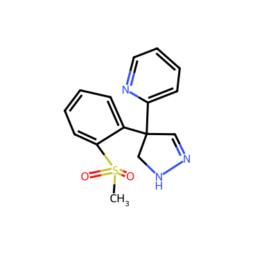 CS(=O)(=O)c1ccccc1C1(c2ccccn2)C=NNC1